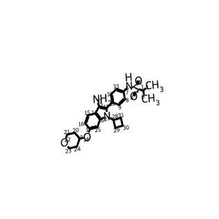 CC(C)S(=O)(=O)Nc1ccc(-c2c(N)c3ccc(OC4CCOCC4)cc3n2C2CCC2)cc1